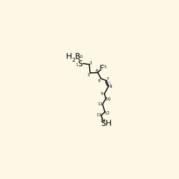 BSCCC(F)C/C=C\CCCCCS